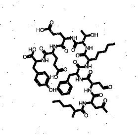 CCCCCC(NC(=O)C(Cc1ccccc1)NC(=O)C(CC=O)NC(=O)C(CC(C)=O)NC(=O)C(C)CCCC)C(=O)NC(C(=O)NC(CCC(=O)O)C(=O)NC(CCC(=O)O)C(=O)NC(Cc1ccc(O)cc1)C(=O)O)C(C)O